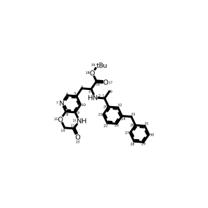 CC(NC(Cc1cnc2c(c1)NC(=O)CO2)C(=O)OC(C)(C)C)c1cccc(Cc2ccccc2)c1